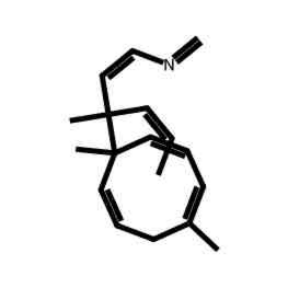 C=N/C=C\C(C)(/C=C\C)C1(C)/C=C\C=C(\C)C/C=C\1